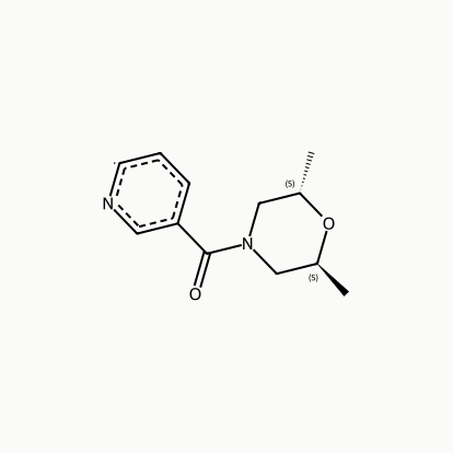 C[C@H]1CN(C(=O)c2cc[c]nc2)C[C@H](C)O1